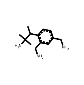 CC(c1ccc(CN)cc1CN)C(C)(C)N